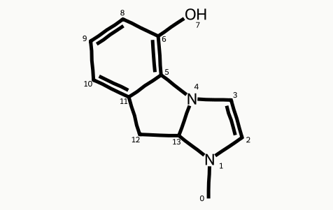 CN1C=CN2c3c(O)cccc3CC12